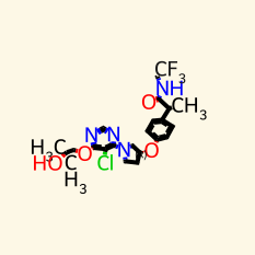 CC(C(=O)NCC(F)(F)F)c1ccc(O[C@@H]2CCN(c3ncnc(OCC(C)(C)O)c3Cl)C2)cc1